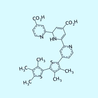 Cc1sc(-c2sc(-c3ccnc(C4=CC(C(=O)O)=CC(c5cc(C(=O)O)ccn5)N4)c3)c(C)c2C)c(C)c1C